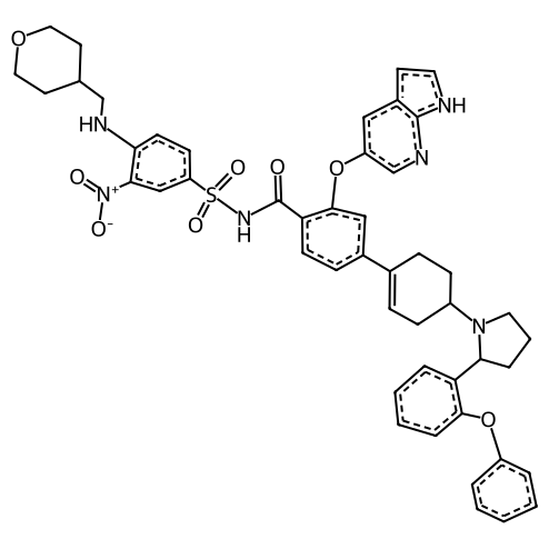 O=C(NS(=O)(=O)c1ccc(NCC2CCOCC2)c([N+](=O)[O-])c1)c1ccc(C2=CCC(N3CCCC3c3ccccc3Oc3ccccc3)CC2)cc1Oc1cnc2[nH]ccc2c1